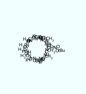 CC[C@@H]1NC(=O)[C@H]([C@H](O)[C@H](C)CCCCCCNC(=O)OC(C)(C)C)N(C)C(=O)[C@H](C(C)C)N(C)C(=O)[C@H](CC(C)C)N(C)C(=O)[C@H](CC(C)C)N(C)C(=O)[C@H](C)NC(=O)[C@@H](C)NC(=O)[C@@H](CC(C)C)N(C)C(=O)[C@@H](C(C)C)NC(=O)[C@H](CC(C)C)N(C)C(=O)CN(C)C1=O